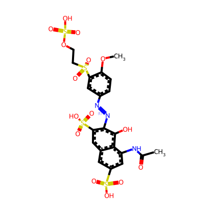 COc1ccc(/N=N/c2c(S(=O)(=O)O)cc3cc(S(=O)(=O)O)cc(NC(C)=O)c3c2O)cc1S(=O)(=O)CCOS(=O)(=O)O